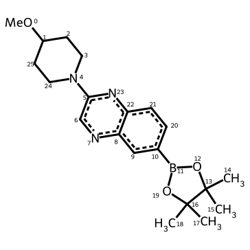 COC1CCN(c2cnc3cc(B4OC(C)(C)C(C)(C)O4)ccc3n2)CC1